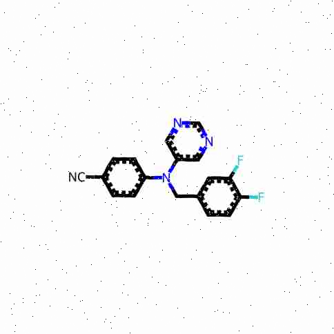 N#Cc1ccc(N(Cc2ccc(F)c(F)c2)c2cncnc2)cc1